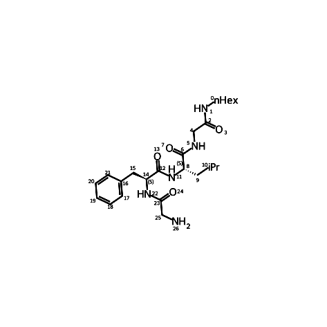 CCCCCCNC(=O)CNC(=O)[C@H](CC(C)C)NC(=O)[C@H](Cc1ccccc1)NC(=O)CN